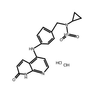 Cl.Cl.O=c1ccc2c(Nc3ccc(CN(C4CC4)[SH](=O)=O)cc3)ccnc2[nH]1